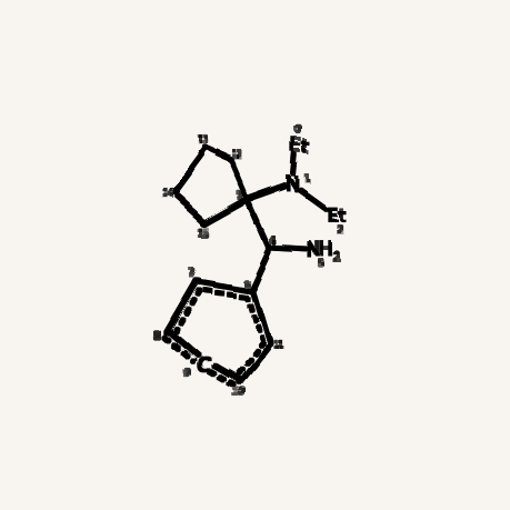 CCN(CC)C1(C(N)c2ccccc2)CCCC1